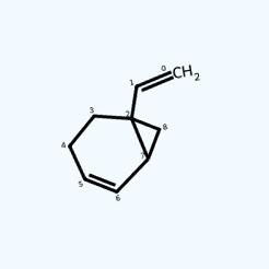 C=CC12CCC=CC1C2